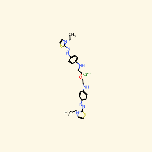 CC[n+]1ccsc1/N=N/c1ccc(NCCOCCNc2ccc(/N=N/c3scc[n+]3CC)cc2)cc1.[Cl-].[Cl-]